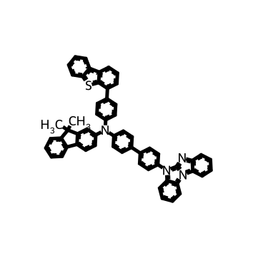 CC1(C)c2ccccc2-c2ccc(N(c3ccc(-c4ccc(-n5c6ccccc6n6c7ccccc7nc56)cc4)cc3)c3ccc(-c4cccc5c4sc4ccccc45)cc3)cc21